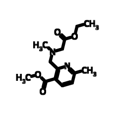 CCOC(=O)CN(C)Cc1nc(C)ccc1C(=O)OC